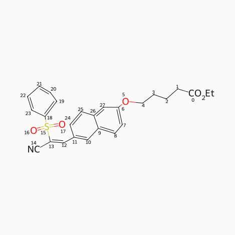 CCOC(=O)CCCCOc1ccc2cc(C=C(C#N)S(=O)(=O)c3ccccc3)ccc2c1